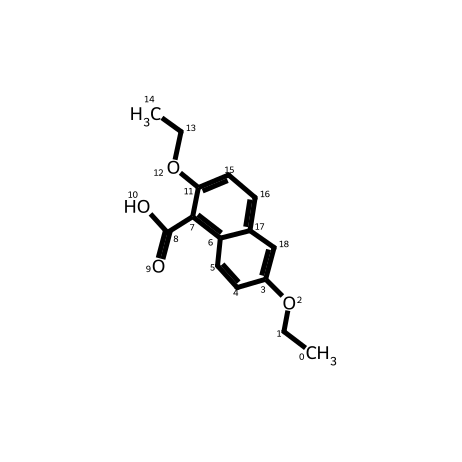 CCOc1ccc2c(C(=O)O)c(OCC)ccc2c1